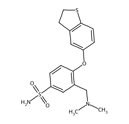 CN(C)Cc1cc(S(N)(=O)=O)ccc1Oc1ccc2c(c1)CCS2